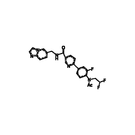 CC(=O)N(CC(F)F)c1ccc(-c2ccc(C(=O)NCc3ccc4nccn4c3)cn2)cc1F